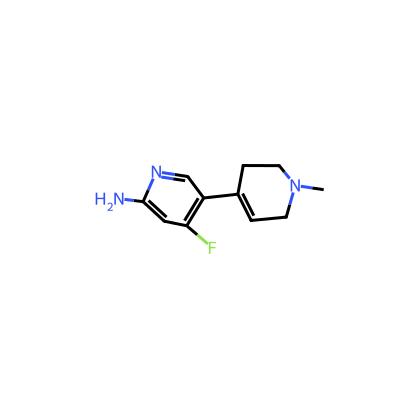 CN1CC=C(c2cnc(N)cc2F)CC1